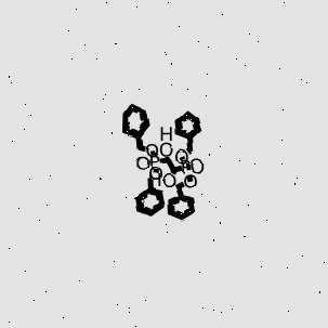 O=P(OCc1ccccc1)(OCc1ccccc1)C(O)C(O)P(=O)(OCc1ccccc1)OCc1ccccc1